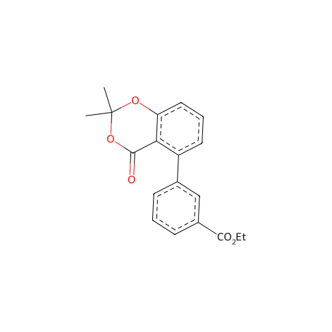 CCOC(=O)c1cccc(-c2cccc3c2C(=O)OC(C)(C)O3)c1